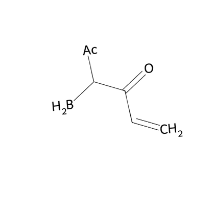 BC(C(C)=O)C(=O)C=C